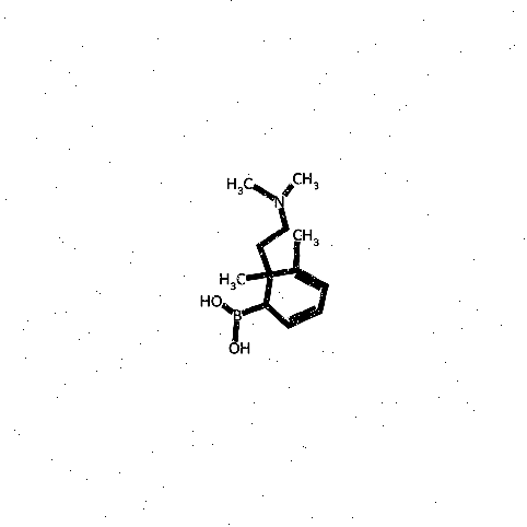 CC1=CC=CC(B(O)O)C1(C)CCN(C)C